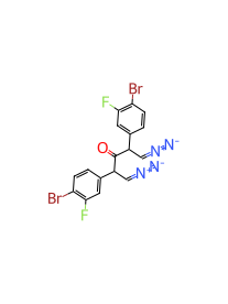 [N-]=[N+]=CC(C(=O)C(C=[N+]=[N-])c1ccc(Br)c(F)c1)c1ccc(Br)c(F)c1